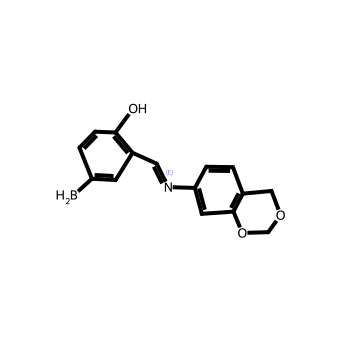 Bc1ccc(O)c(/C=N/c2ccc3c(c2)OCOC3)c1